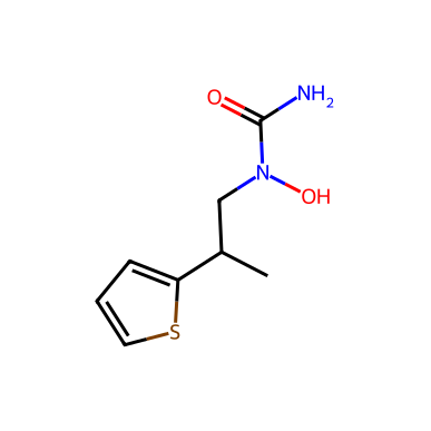 CC(CN(O)C(N)=O)c1cccs1